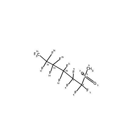 CS(=O)(=O)C(F)(F)C(F)(F)C(F)(F)C(F)(F)C(F)(F)C(F)(F)F